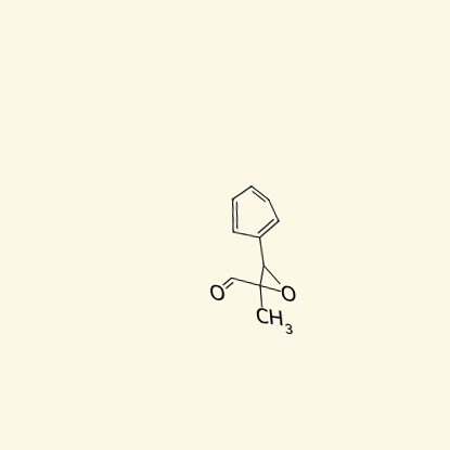 CC1(C=O)OC1c1ccccc1